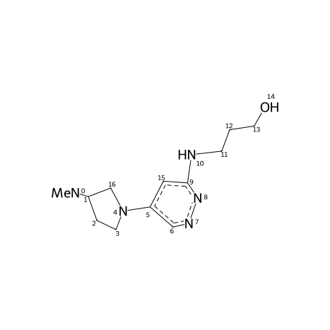 CNC1CCN(c2cnnc(NCCCO)c2)C1